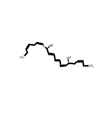 CC/C=C\C/C=C\C[C@@H](O)/C=C/C=C/C=C\[C@@H](O)C/C=C\CC